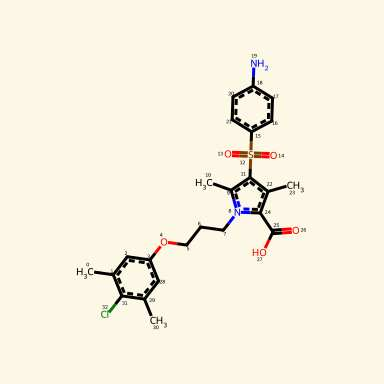 Cc1cc(OCCCn2c(C)c(S(=O)(=O)c3ccc(N)cc3)c(C)c2C(=O)O)cc(C)c1Cl